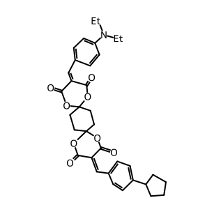 CCN(CC)c1ccc(C=C2C(=O)OC3(CCC4(CC3)OC(=O)C(=Cc3ccc(C5CCCC5)cc3)C(=O)O4)OC2=O)cc1